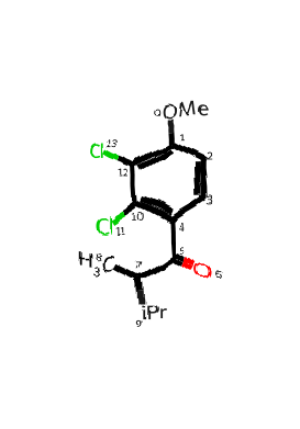 COc1ccc(C(=O)C(C)C(C)C)c(Cl)c1Cl